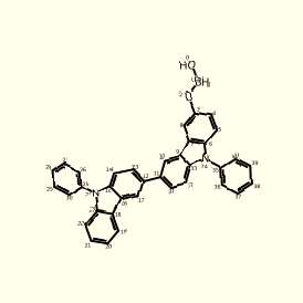 OBOc1ccc2c(c1)c1cc(-c3ccc4c(c3)c3ccccc3n4-c3ccccc3)ccc1n2-c1ccccc1